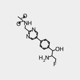 CS(=O)(=O)NCc1ncc(-c2ccc(C(O)C(N)CF)cc2)cn1